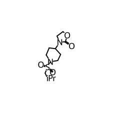 CC(C)CS(=O)(=O)N1CCC(N2CCOC2=O)CC1